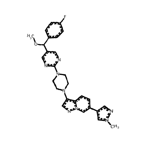 COC(c1ccc(F)cc1)c1cnc(N2CCN(c3cnn4cc(-c5cnn(C)c5)ccc34)CC2)nc1